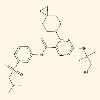 CC(C)CS(=O)(=O)c1cccc(NC(=O)c2ccc(NC(C)(C)CO)nc2N2CCC3(CC2)CC3)c1